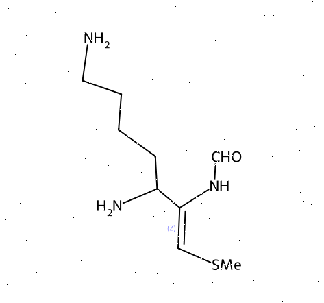 CS/C=C(\NC=O)C(N)CCCCN